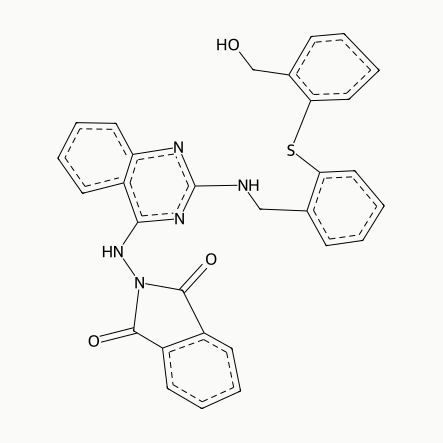 O=C1c2ccccc2C(=O)N1Nc1nc(NCc2ccccc2Sc2ccccc2CO)nc2ccccc12